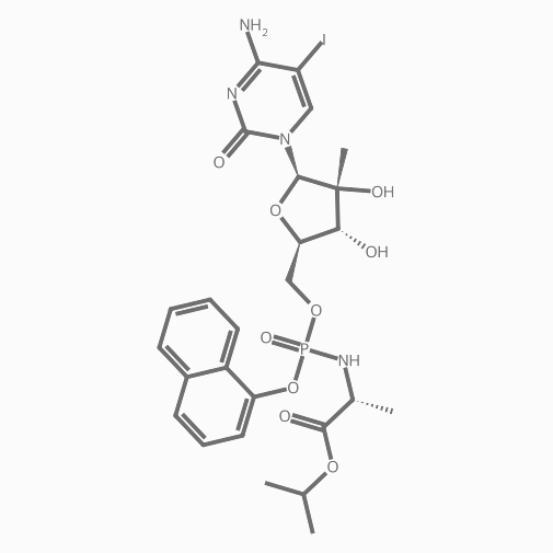 CC(C)OC(=O)[C@@H](C)NP(=O)(OC[C@H]1O[C@@H](n2cc(I)c(N)nc2=O)[C@](C)(O)[C@@H]1O)Oc1cccc2ccccc12